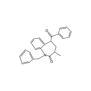 CC1CC(C(=O)c2ccccc2)c2ccccc2N(Cc2ccccc2)C1=O